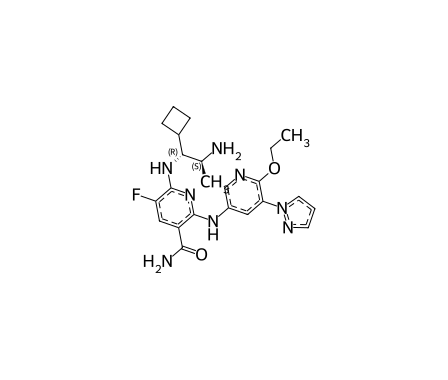 CCOc1ncc(Nc2nc(N[C@H](C3CCC3)[C@H](C)N)c(F)cc2C(N)=O)cc1-n1cccn1